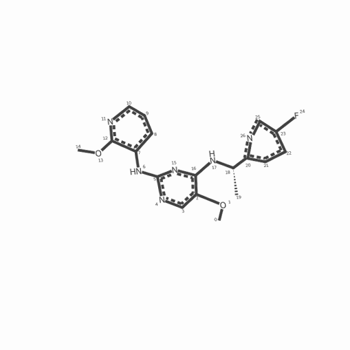 COc1cnc(Nc2cccnc2OC)nc1N[C@@H](C)c1ccc(F)cn1